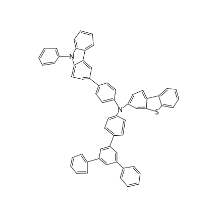 c1ccc(-c2cc(-c3ccccc3)cc(-c3ccc(N(c4ccc(-c5ccc6c(c5)c5ccccc5n6-c5ccccc5)cc4)c4ccc5c(c4)sc4ccccc45)cc3)c2)cc1